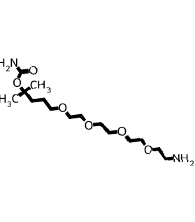 CC(C)(CCCOCCOCCOCCOCCN)OC(N)=O